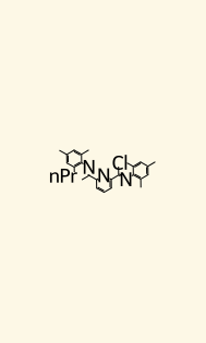 CCCc1cc(C)cc(C)c1/N=C(\C)c1cccc(/C(C)=N/c2c(C)cc(C)cc2Cl)n1